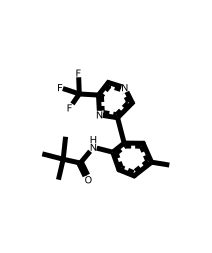 Cc1ccc(NC(=O)C(C)(C)C)c(-c2cncc(C(F)(F)F)n2)c1